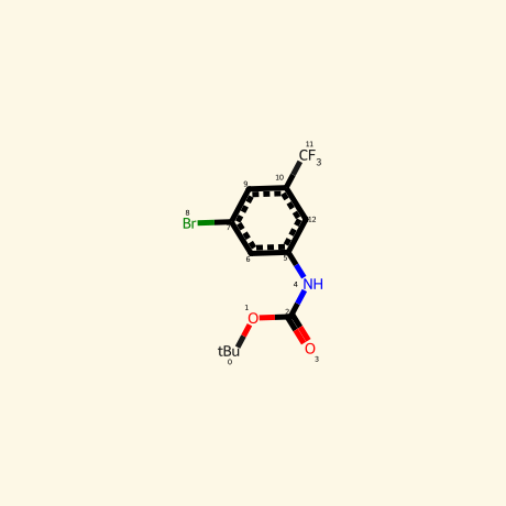 CC(C)(C)OC(=O)Nc1cc(Br)cc(C(F)(F)F)c1